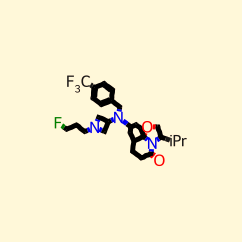 CC(C)C1COC23CCC(N(Cc4ccc(C(F)(F)F)cc4)C4CN(CCCF)C4)CC2CCC(=O)N13